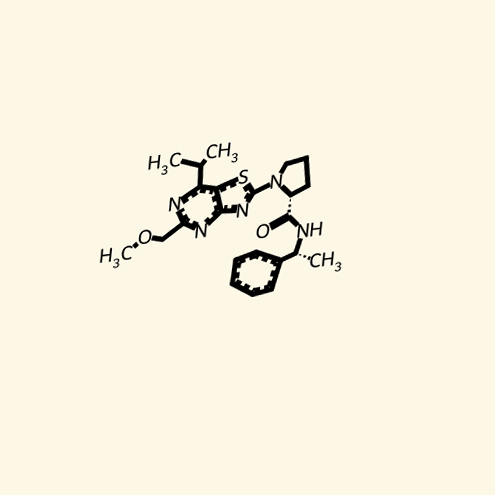 COCc1nc(C(C)C)c2sc(N3CCC[C@@H]3C(=O)N[C@H](C)c3ccccc3)nc2n1